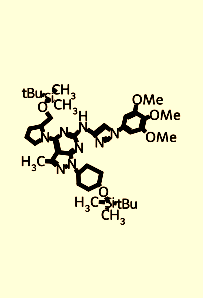 COc1cc(-n2cnc(Nc3nc(N4CCCC4CO[Si](C)(C)C(C)(C)C)c4c(C)nn(C5CCC(O[Si](C)(C)C(C)(C)C)CC5)c4n3)c2)cc(OC)c1OC